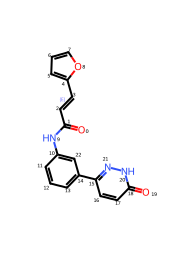 O=C(/C=C/c1ccco1)Nc1cccc(-c2ccc(=O)[nH]n2)c1